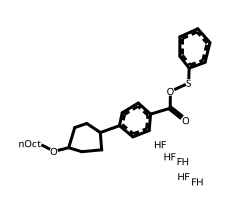 CCCCCCCCOC1CCC(c2ccc(C(=O)OSc3ccccc3)cc2)CC1.F.F.F.F.F